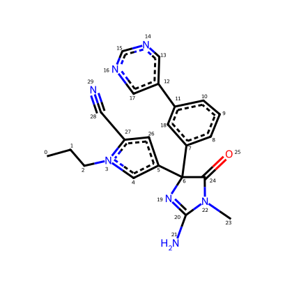 CCCn1cc(C2(c3cccc(-c4cncnc4)c3)N=C(N)N(C)C2=O)cc1C#N